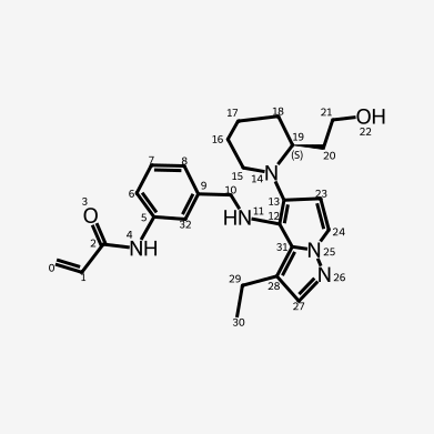 C=CC(=O)Nc1cccc(CNc2c(N3CCCC[C@H]3CCO)ccn3ncc(CC)c23)c1